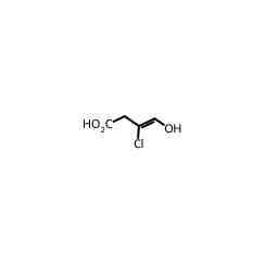 O=C(O)CC(Cl)=CO